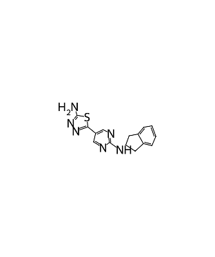 Nc1nnc(-c2cnc(NC3Cc4ccccc4C3)nc2)s1